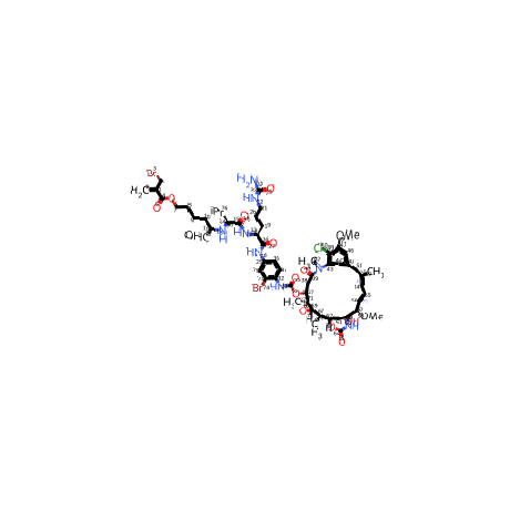 C=C(CBr)C(=O)OCCCCC(C=O)N[C@H](C(=O)N[C@@H](CCCNC(N)=O)C(=O)Nc1ccc(NC(=O)O[C@H]2CC(=O)N(C)c3cc(cc(OC)c3Cl)C/C(C)=C/C=C/[C@@H](OC)[C@@]3(O)C[C@H](OC(=O)N3)[C@@H](C)[C@@H]3O[C@@]23C)c(Br)c1)C(C)C